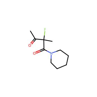 CC(=O)C(C)(F)C(=O)N1CCCCC1